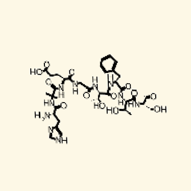 C[C@@H](O)[C@H](NC(=O)CNC(=O)[C@H](CCC(=O)O)NC(=O)C(C)(C)NC(=O)[C@@H](N)Cc1c[nH]cn1)C(=O)N[C@@H](Cc1ccccc1)C(=O)N[C@H](C(=O)N[C@H]([C]=O)CO)[C@@H](C)O